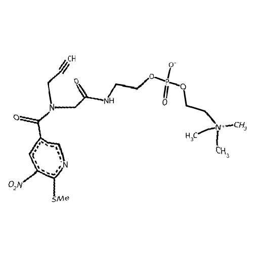 C#CCN(CC(=O)NCCOP(=O)([O-])OCC[N+](C)(C)C)C(=O)c1cnc(SC)c([N+](=O)[O-])c1